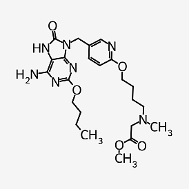 CCCCOc1nc(N)c2[nH]c(=O)n(Cc3ccc(OCCCCN(C)CC(=O)OC)nc3)c2n1